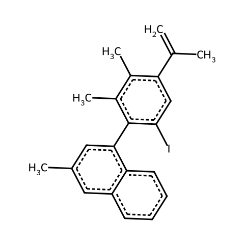 C=C(C)c1cc(I)c(-c2cc(C)cc3ccccc23)c(C)c1C